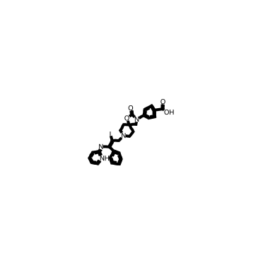 O=C(O)c1ccc(N2CC3(CCN(C/C(I)=C(/N=c4/cccc[nH]4)c4ccccc4)CC3)OC2=O)cc1